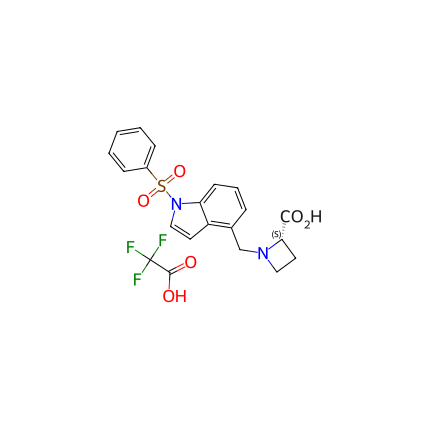 O=C(O)C(F)(F)F.O=C(O)[C@@H]1CCN1Cc1cccc2c1ccn2S(=O)(=O)c1ccccc1